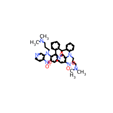 CN(C)CCCN(c1ccccc1C(=O)c1ccccc1-c1ccccc1N(CCCN(C)C)c1cnccc1[N+](=O)[O-])c1cnccc1[N+](=O)[O-]